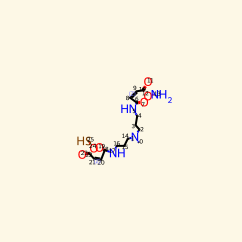 CN(CCCNC(=O)/C=C\C(=O)ON)CCCNC(=O)/C=C\C(=O)OS